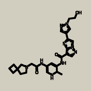 CC1NC=C(NC(=O)CN2CCC3(CCC3)C2)C=C1NC(=O)c1cnn2cc(-c3cnn(CCO)c3)sc12